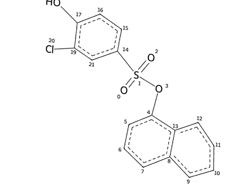 O=S(=O)(Oc1cccc2ccccc12)c1ccc(O)c(Cl)c1